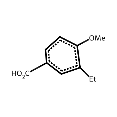 CCc1cc(C(=O)O)ccc1OC